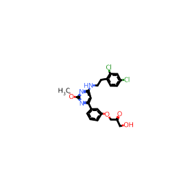 COc1nc(NCCc2ccc(Cl)cc2Cl)cc(-c2cccc(OCC(=O)CO)c2)n1